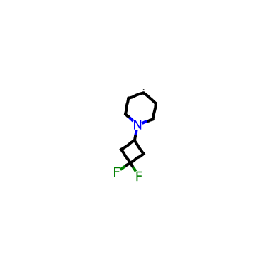 FC1(F)CC(N2CC[CH]CC2)C1